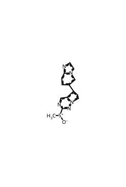 C[S+]([O-])c1ncc2c(-c3ccc4nccn4c3)ccn2n1